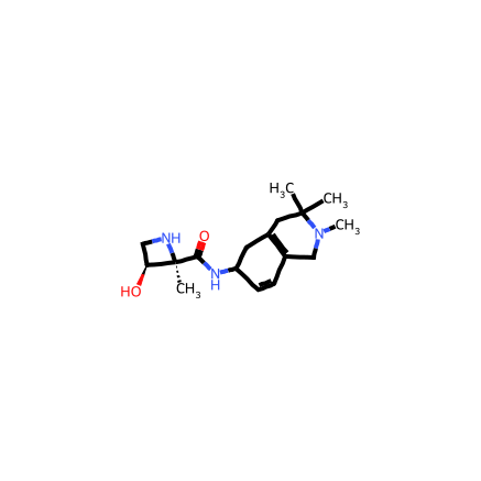 CN1CC2=C(CC(NC(=O)[C@]3(C)NC[C@@H]3O)C=C2)CC1(C)C